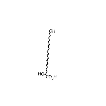 O=C(O)C(O)CCCC=CC=CC=CCCC=CCCCCCO